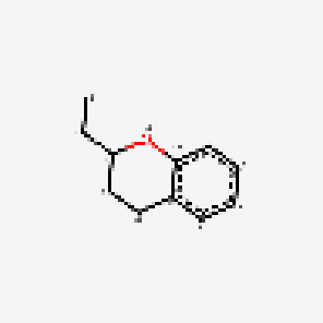 CCC1C[CH]c2ccccc2O1